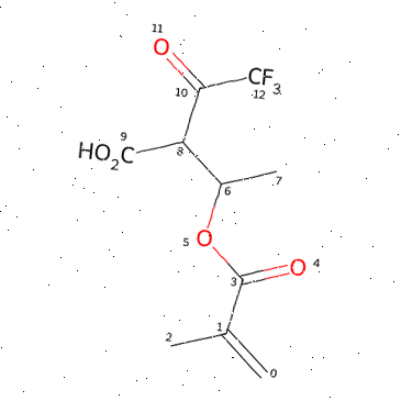 C=C(C)C(=O)OC(C)C(C(=O)O)C(=O)C(F)(F)F